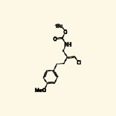 COc1ccc(CC/C(=C\Cl)CNC(=O)OC(C)(C)C)cc1